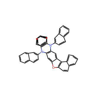 c1ccc(N(c2ccc3ccccc3c2)c2cc3oc4ccc5ccccc5c4c3cc2N(c2ccccc2)c2ccc3ccccc3c2)cc1